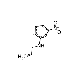 C=CCNc1[c]ccc([N+](=O)[O-])c1